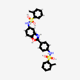 Cc1ccccc1S(=O)(=O)Nc1ccc(-c2nc3cc(NS(=O)(=O)c4ccccc4C)ccc3o2)cc1